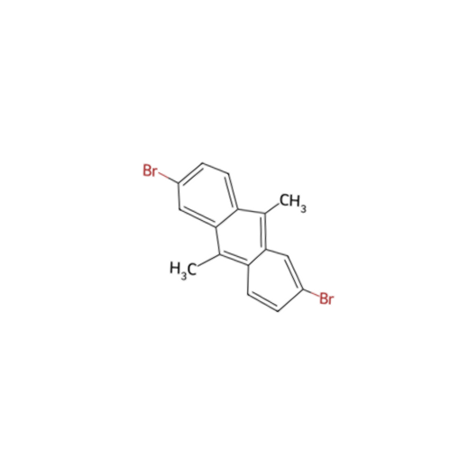 Cc1c2ccc(Br)cc2c(C)c2ccc(Br)cc12